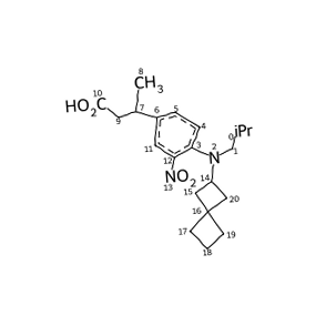 CC(C)CN(c1ccc(C(C)CC(=O)O)cc1[N+](=O)[O-])C1CC2(CCC2)C1